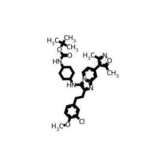 COc1ccc(CCc2nc3cc(-c4c(C)noc4C)ccn3c2NC2CCC(NC(=O)OC(C)(C)C)CC2)cc1Cl